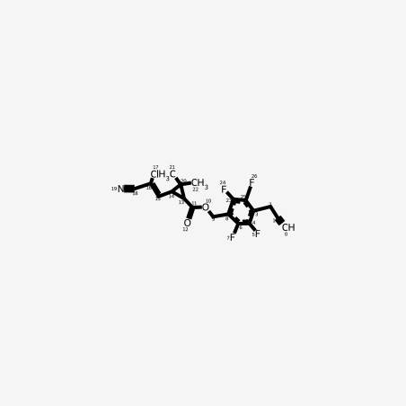 C#CCc1c(F)c(F)c(COC(=O)C2C(C=C(Cl)C#N)C2(C)C)c(F)c1F